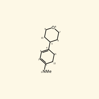 CNC1=CC=C(C2CCOCC2)CC1